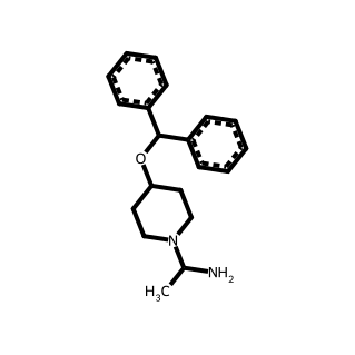 CC(N)N1CCC(OC(c2ccccc2)c2ccccc2)CC1